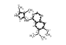 COc1cc2ncnc(Nc3n[nH]c(C)c3C)c2cc1P(C)C